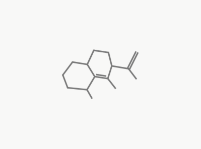 C=C(C)C1CCC2CCCC(C)C2=C1C